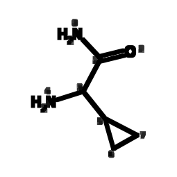 NC(=O)C(N)C1CC1